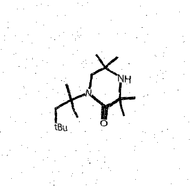 CC(C)(C)CC(C)(C)N1CC(C)(C)NC(C)(C)C1=O